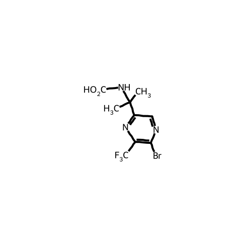 CC(C)(NC(=O)O)c1cnc(Br)c(C(F)(F)F)n1